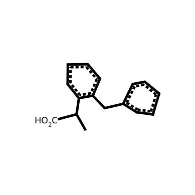 CC(C(=O)O)c1ccccc1Cc1ccccc1